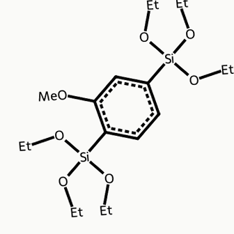 CCO[Si](OCC)(OCC)c1ccc([Si](OCC)(OCC)OCC)c(OC)c1